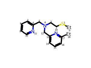 CCSCCN(Cc1ccccn1)Cc1cccc(CC)n1